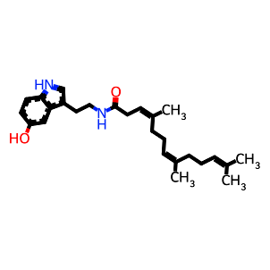 CC(C)=CCCC(C)=CCCC(C)=CCC(=O)NCCc1c[nH]c2ccc(O)cc12